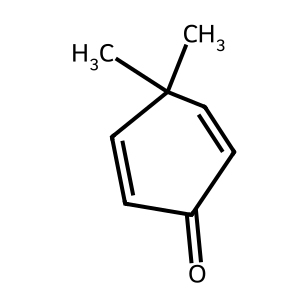 CC1(C)C=CC(=O)C=C1